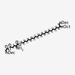 CCCCCCCCCCCC(=O)OC(=O)CC[C@H](N)C(=O)OCCCCCCCCCCCCCCCCCCCCCCC(CCCCCCCC)CCCCCCCCCCC